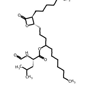 CCCCCCCC(CCC[C@@H]1OC(=O)[C@H]1CCCCCC)OC(=O)[C@H](CC(C)C)NC=O